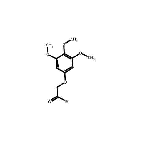 COc1cc(OCC(=O)Br)cc(OC)c1OC